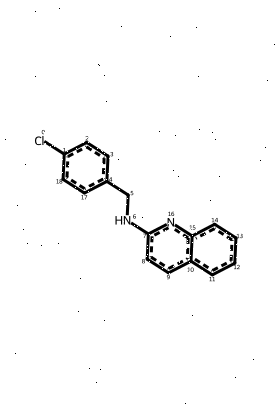 Clc1ccc(CNc2ccc3ccccc3n2)cc1